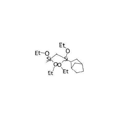 CCO[Si](C)(C[Si](OCC)(OCC)C1CC2CCC1C2)OCC